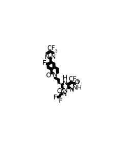 O=c1[nH]ncc(N[C@H](CCCn2ccc3cc(-c4ncc(C(F)(F)F)cn4)c(F)cc3c2=O)c2nnc(C(F)F)o2)c1C(F)(F)F